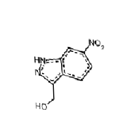 O=[N+]([O-])c1ccc2c(CO)n[nH]c2c1